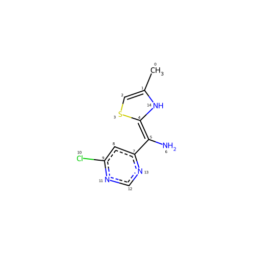 CC1=CS/C(=C(/N)c2cc(Cl)ncn2)N1